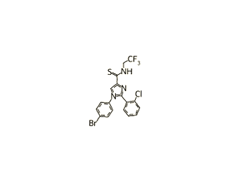 FC(F)(F)CNC(=S)c1cn(-c2ccc(Br)cc2)c(-c2ccccc2Cl)n1